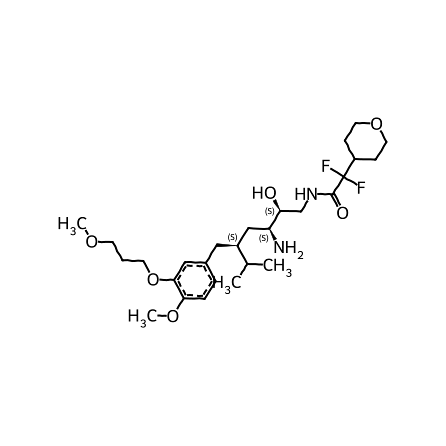 COCCCOc1cc(C[C@@H](C[C@H](N)[C@@H](O)CNC(=O)C(F)(F)C2CCOCC2)C(C)C)ccc1OC